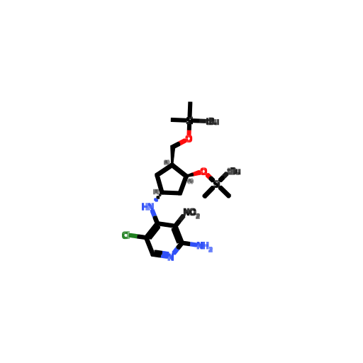 CC(C)(C)[Si](C)(C)OC[C@@H]1C[C@@H](Nc2c(Cl)cnc(N)c2[N+](=O)[O-])C[C@@H]1O[Si](C)(C)C(C)(C)C